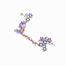 Cc1ncsc1-c1ccc(CNC(=O)[C@@H]2CCCN2C(=O)C(NC(=O)COCCOCCOCCCCOc2ccc3c(c2)c2c(C(N)=O)cc(-c4c(C)noc4C)cc2n3Cc2ccccc2)C(C)(C)C)cc1